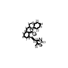 CCc1cc2cccc(C#Cc3ncsc3C)c2c(=O)n1-c1ccccc1